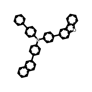 c1ccc(-c2ccc(N(c3ccc(-c4ccc5ccccc5c4)cc3)c3ccc(-c4ccc5oc6ccccc6c5c4)cc3)cc2)cc1